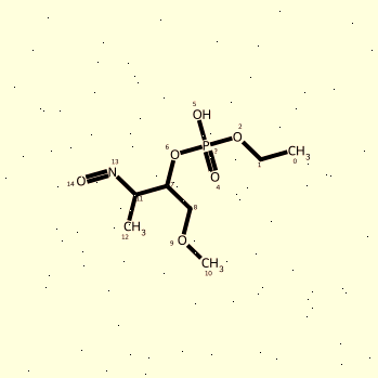 CCOP(=O)(O)OC(COC)C(C)N=O